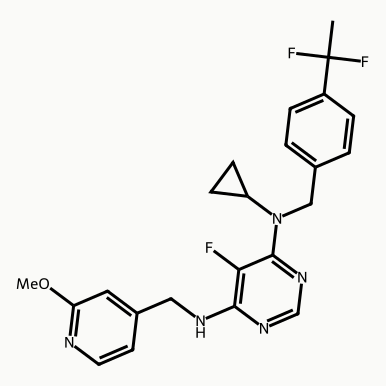 COc1cc(CNc2ncnc(N(Cc3ccc(C(C)(F)F)cc3)C3CC3)c2F)ccn1